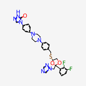 O=c1[nH]ncn1-c1ccc(N2CCN(c3ccc(CSC4COC(Cn5cncn5)(c5cccc(F)c5F)O4)cc3)CC2)cc1